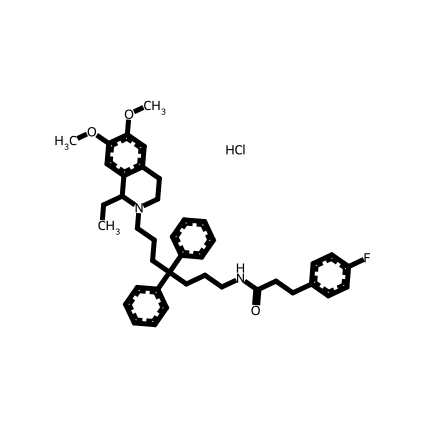 CCC1c2cc(OC)c(OC)cc2CCN1CCCC(CCCNC(=O)CCc1ccc(F)cc1)(c1ccccc1)c1ccccc1.Cl